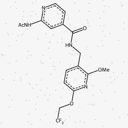 COc1nc(OCC(F)(F)F)ccc1CNC(=O)c1ccnc(NC(C)=O)c1